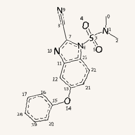 CN(C)S(=O)(=O)n1c(C#N)nc2cc(Oc3ccccc3)ccc21